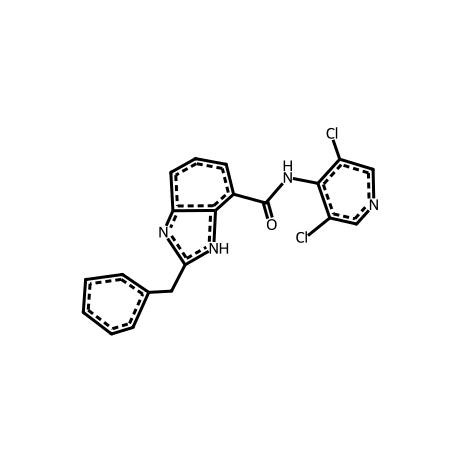 O=C(Nc1c(Cl)cncc1Cl)c1cccc2nc(Cc3ccccc3)[nH]c12